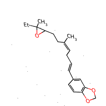 CCC1(C)OC1CCC(C)=CCC=Cc1ccc2c(c1)OCO2